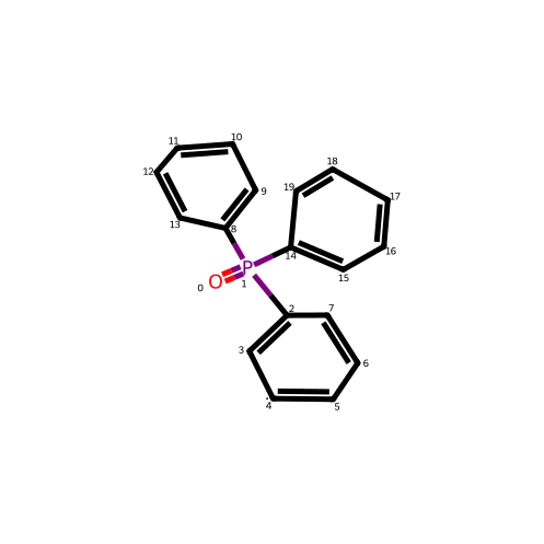 O=P(c1c[c]ccc1)(c1ccccc1)c1ccccc1